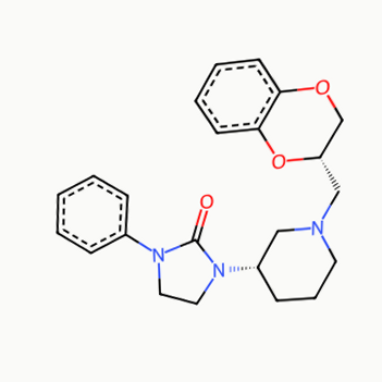 O=C1N(c2ccccc2)CCN1[C@H]1CCCN(C[C@H]2COc3ccccc3O2)C1